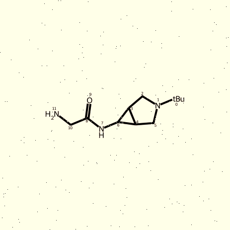 CC(C)(C)N1CC2C(C1)C2NC(=O)CN